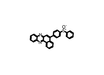 [O-][S+](c1ccccc1)c1ccc(-c2cc3nc4ccccc4nc3c3ccccc23)cc1